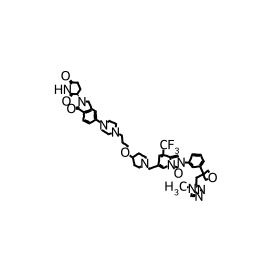 Cn1cnnc1CC1(c2cccc(-n3cc4c(C(F)(F)F)cc(CN5CCC(OCCCN6CCN(c7ccc8c(c7)CN([C@H]7CCC(=O)NC7=O)C8=O)CC6)CC5)cn4c3=O)c2)COC1